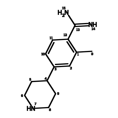 Cc1cc(C2CCNCC2)ccc1C(=N)N